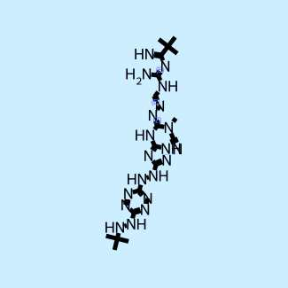 CN(C#N)/C(=N\N=C\N/C(N)=N/C(=N)C(C)(C)C)Nc1nc(NNc2nnc(NNC(C)(C)C)nn2)n[nH]1